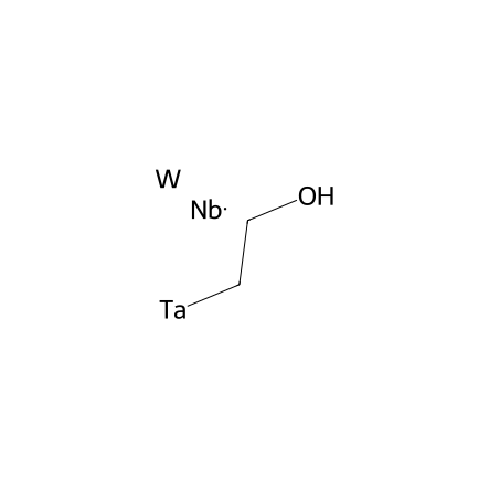 OC[CH2][Ta].[Nb].[W]